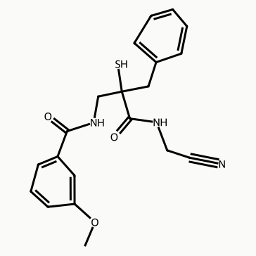 COc1cccc(C(=O)NCC(S)(Cc2ccccc2)C(=O)NCC#N)c1